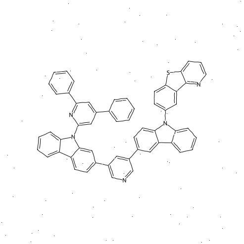 c1ccc(-c2cc(-c3ccccc3)nc(-n3c4ccccc4c4ccc(-c5cncc(-c6ccc7c(c6)c6ccccc6n7-c6ccc7sc8cccnc8c7c6)c5)cc43)c2)cc1